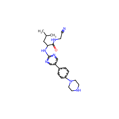 CC(C)CC(Nc1ncc(-c2ccc(N3CCNCC3)cc2)cn1)C(=O)NCC#N